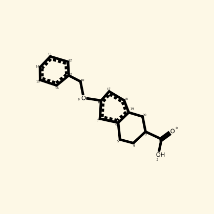 O=C(O)C1CCc2cc(OCc3ccccc3)ccc2C1